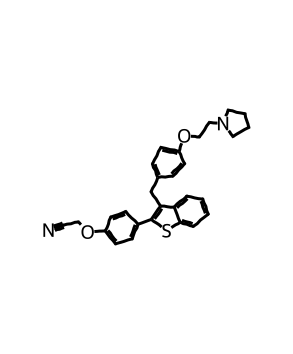 N#CCOc1ccc(-c2sc3ccccc3c2Cc2ccc(OCCN3CCCC3)cc2)cc1